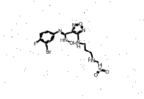 O=[SH](=O)CNCCCNc1nonc1C(=Nc1ccc(F)c(Br)c1)NO